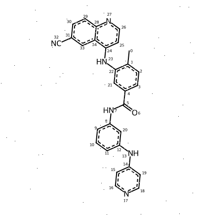 Cc1ccc(C(=O)Nc2cccc(Nc3ccncc3)c2)cc1Nc1ccnc2ccc(C#N)cc12